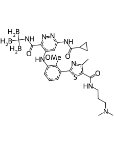 BC(B)(B)NC(=O)c1nnc(NC(=O)C2CC2)cc1Nc1cccc(-c2nc(C)c(C(=O)NCCCN(C)C)s2)c1OC